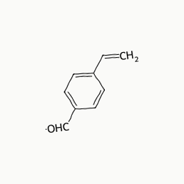 C=Cc1ccc([C]=O)cc1